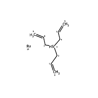 C=CC[SiH](CC=C)CC=C.[Ru]